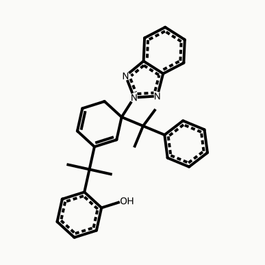 CC(C)(C1=CC(n2nc3ccccc3n2)(C(C)(C)c2ccccc2)CC=C1)c1ccccc1O